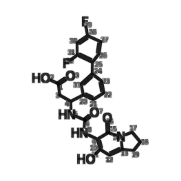 O=C(O)CC(NC(=O)Nc1c(O)cc2n(c1=O)CCC2)c1cccc(-c2ccc(F)cc2F)c1